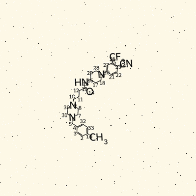 Cc1ccc(CN2CCN(CCCC(=O)NC3CCN(c4ccc(C#N)c(C(F)(F)F)c4)CC3)CC2)cc1